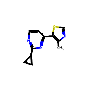 Cc1n[c]sc1-c1ccnc(C2CC2)n1